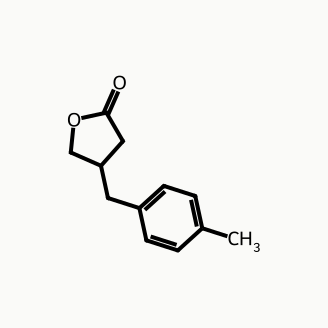 Cc1ccc(CC2COC(=O)C2)cc1